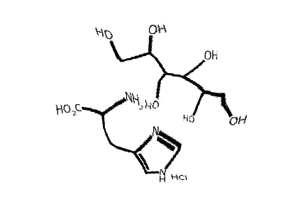 Cl.NC(Cc1c[nH]cn1)C(=O)O.OCC(O)C(O)C(O)C(O)CO